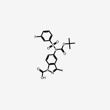 CC(C)(C)OC(=O)N(c1ccc2c(c1)c(I)nn2C(=O)O)S(=O)(=O)c1cccc(F)c1